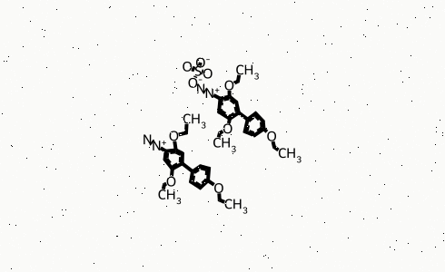 CCOc1ccc(-c2cc(OCC)c([N+]#N)cc2OCC)cc1.CCOc1ccc(-c2cc(OCC)c([N+]#N)cc2OCC)cc1.O=S(=O)([O-])[O-]